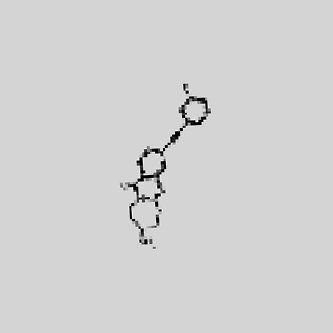 NC1CCc2nc3cc(C#Cc4cccc(F)c4)ccc3c(=O)n2CC1